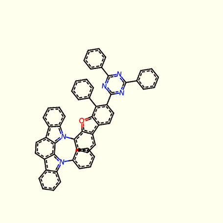 c1ccc(-c2nc(-c3ccccc3)nc(-c3ccc4c(oc5c(-n6c7ccccc7c7ccc8c9ccccc9n(-c9ccccc9)c8c76)cccc54)c3-c3ccccc3)n2)cc1